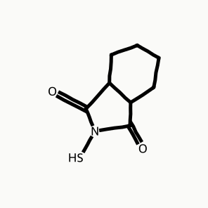 O=C1C2CCCCC2C(=O)N1S